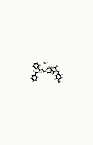 Cl.O=C(N[C@@H](CCN1CCC2(CC1)NC(=O)N(Cc1ccc(Br)cc1)C2=O)c1ccccc1)c1cccnc1